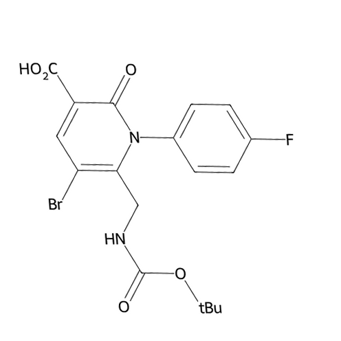 CC(C)(C)OC(=O)NCc1c(Br)cc(C(=O)O)c(=O)n1-c1ccc(F)cc1